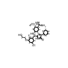 CC(=O)O.CCc1cc(OCCO)c(F)c([C@H](Nc2ccc(C(=N)N)cc2)c2nn(-c3ncccn3)c(=O)[nH]2)c1